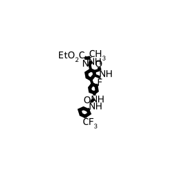 CCOC(=O)c1nc(-c2ccc(-c3ccc(NC(=O)Nc4cccc(C(F)(F)F)c4)cc3F)c3c2C(=O)NC3)[nH]c1C